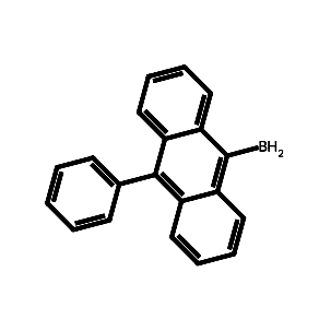 Bc1c2ccccc2c(-c2ccccc2)c2ccccc12